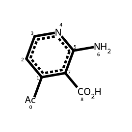 CC(=O)c1ccnc(N)c1C(=O)O